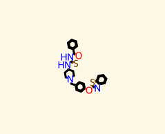 O=C(NC(=S)NC1CCN(Cc2ccc(Oc3nc4ccccc4s3)cc2)CC1)c1ccccc1